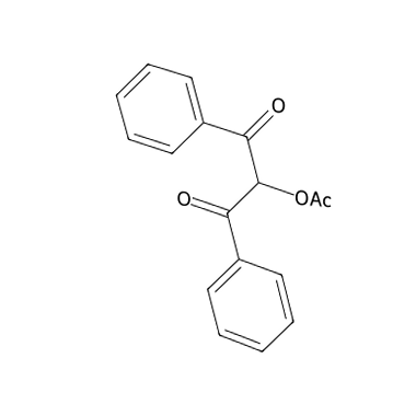 CC(=O)OC(C(=O)c1ccccc1)C(=O)c1ccccc1